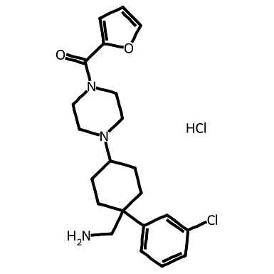 Cl.NCC1(c2cccc(Cl)c2)CCC(N2CCN(C(=O)c3ccco3)CC2)CC1